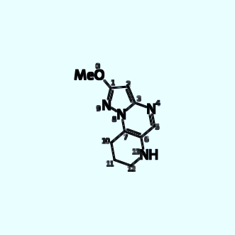 COc1cc2ncc3c(n2n1)CCCN3